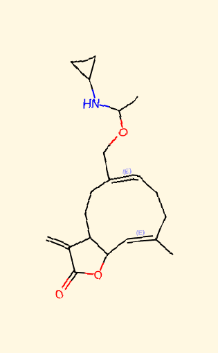 C=C1C(=O)OC2/C=C(\C)CC/C=C(/COC(C)NC3CC3)CCC12